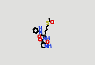 CC(=O)SCCCCC[C@H](NC(=O)[C@@H]1CCCNC1=O)C(=O)Nc1ccccc1